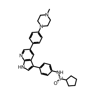 CN1CCN(c2ccc(-c3cnc4[nH]cc(-c5ccc(N[S+]([O-])C6CCCC6)cc5)c4c3)cc2)CC1